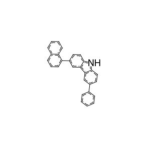 c1ccc(-c2ccc3[nH]c4ccc(-c5cccc6ccccc56)cc4c3c2)cc1